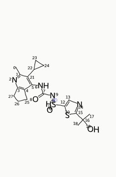 Cc1nc2c(c(NC(=O)/N=[SH](=O)/c3cnc(C(C)(C)O)s3)c1C1CC1)CCC2